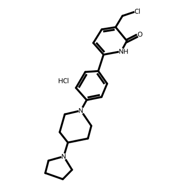 Cl.O=c1[nH]c(-c2ccc(N3CCC(N4CCCC4)CC3)cc2)ccc1CCl